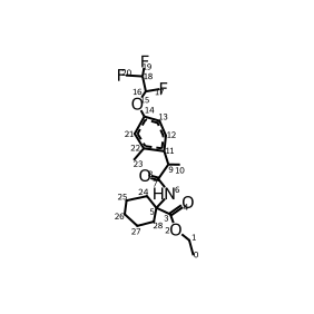 CCOC(=O)C1(NC(=O)C(C)c2ccc(OC(F)C(F)F)cc2C)CCCCC1